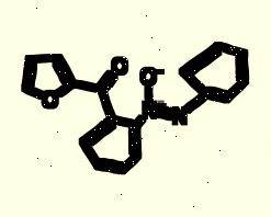 O=C(c1ccco1)c1ccccc1[N+]([O-])=Nc1ccccc1